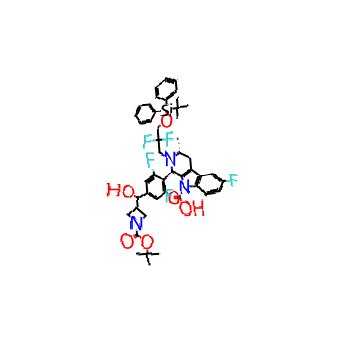 C[C@@H]1Cc2c(n(C(=O)O)c3ccc(F)cc23)[C@@H](c2c(F)cc(C(O)C3CN(C(=O)OC(C)(C)C)C3)cc2F)N1CC(F)(F)CO[Si](c1ccccc1)(c1ccccc1)C(C)(C)C